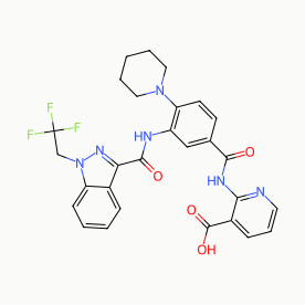 O=C(Nc1ncccc1C(=O)O)c1ccc(N2CCCCC2)c(NC(=O)c2nn(CC(F)(F)F)c3ccccc23)c1